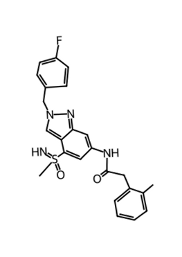 Cc1ccccc1CC(=O)Nc1cc(S(C)(=N)=O)c2cn(Cc3ccc(F)cc3)nc2c1